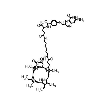 C=Cc1c(C)c2cc3nc(c(CC(=O)O)c4[nH]c(cc5nc(cc1[nH]2)C(C)=C5CC)c(C)c4C(=O)O)C(CCC(=O)NCCCCCCNC(=O)CCC(NC(=O)c1ccc(NCc2cnc4cc(N)[nH]c(=O)c4n2)cc1)C(=O)O)C3C